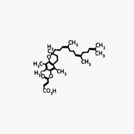 CC(C)=CCCC(C)=CCCC(C)=CCC[C@]1(C)CCc2c(C)c(OC(=O)C=CC(=O)O)c(C)c(C)c2O1